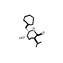 CC(C)=C1C[C@H](O)[C@H](CC2CCCCC2)NC1=O